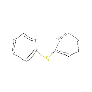 [c]1ccccc1Sc1[c]cccc1